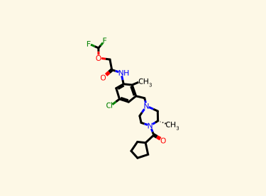 Cc1c(CN2CCN(C(=O)C3CCCC3)[C@@H](C)C2)cc(Cl)cc1NC(=O)COC(F)F